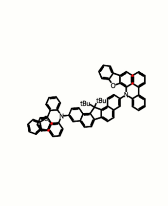 CC(C)(C)C1(C(C)(C)C)c2c(ccc3cc(N(c4ccccc4-c4ccccc4)c4cccc5c4oc4ccccc45)ccc23)-c2ccc3cc(N(c4ccccc4-c4ccccc4)c4cccc5c4oc4ccccc45)ccc3c21